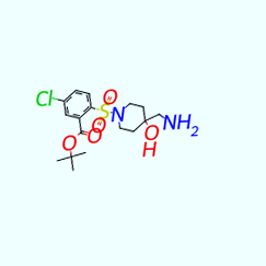 CC(C)(C)OC(=O)c1cc(Cl)ccc1S(=O)(=O)N1CCC(O)(CN)CC1